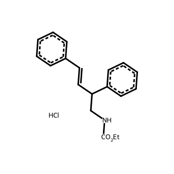 CCOC(=O)NCC(C=Cc1ccccc1)c1ccccc1.Cl